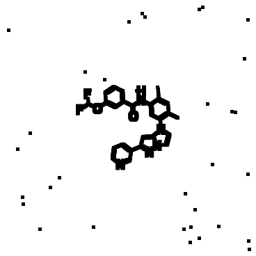 Cc1cc(C)c(-n2ccn3nc(-c4cccnc4)cc23)cc1NC(=O)c1cccc(OC(F)F)c1